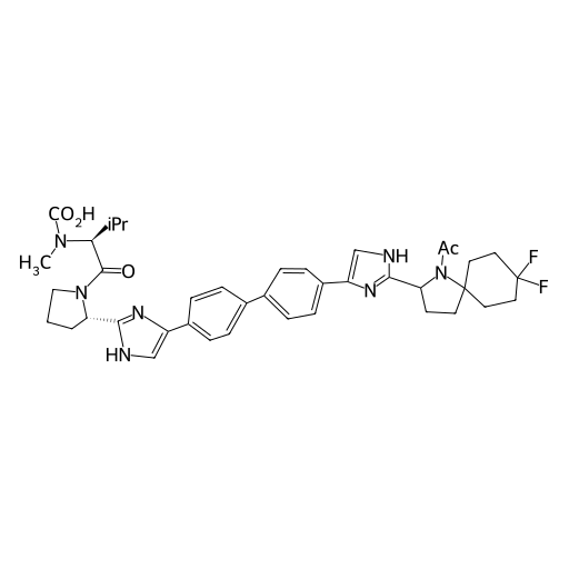 CC(=O)N1C(c2nc(-c3ccc(-c4ccc(-c5c[nH]c([C@@H]6CCCN6C(=O)[C@H](C(C)C)N(C)C(=O)O)n5)cc4)cc3)c[nH]2)CCC12CCC(F)(F)CC2